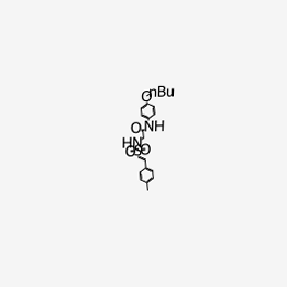 CCCCOc1ccc(NC(=O)CNS(=O)(=O)/C=C/c2ccc(C)cc2)cc1